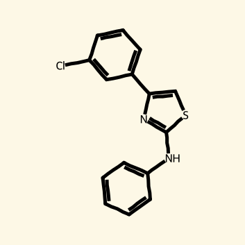 Clc1cccc(-c2csc(Nc3ccccc3)n2)c1